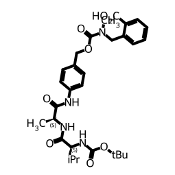 CC(C)[C@H](NC(=O)OC(C)(C)C)C(=O)N[C@@H](C)C(=O)Nc1ccc(COC(=O)N(C)Cc2ccccc2C(=O)O)cc1